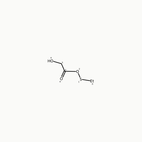 CCSOC(=O)CO